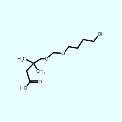 CC(C)(COCOCCCCO)CC(=O)O